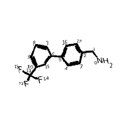 NCc1ccc(-c2c[c]cc(C(F)(F)F)c2)cc1